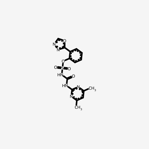 Cc1cc(C)nc(NC(=O)NS(=O)(=O)Oc2ccccc2-c2nnco2)n1